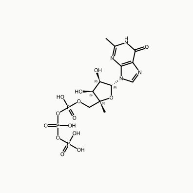 Cc1nc2c(ncn2[C@@H]2O[C@](C)(COP(=O)(O)OP(=O)(O)OP(=O)(O)O)[C@@H](O)[C@H]2O)c(=O)[nH]1